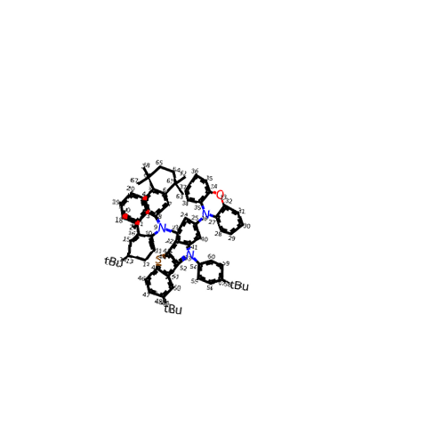 C=C(C)c1cc2c(cc1N(C1=CCC(C(C)(C)C)C=C1c1ccccc1)c1cc(N3c4ccccc4Oc4ccccc43)cc3c1c1sc4ccc(C(C)(C)C)cc4c1n3-c1ccc(C(C)(C)C)cc1)C(C)(C)CCC2(C)C